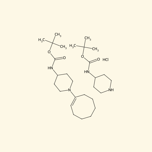 CC(C)(C)OC(=O)NC1CCN(C2=CCCCCCC2)CC1.CC(C)(C)OC(=O)NC1CCNCC1.Cl